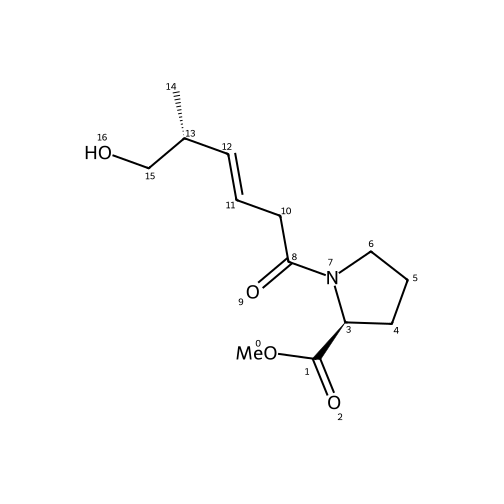 COC(=O)[C@@H]1CCCN1C(=O)C/C=C/[C@@H](C)CO